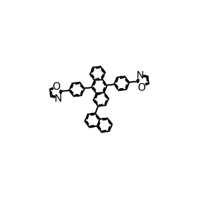 c1ccc2c(-c3ccc4c(-c5ccc(-c6ncco6)cc5)c5ccccc5c(-c5ccc(-c6ncco6)cc5)c4c3)cccc2c1